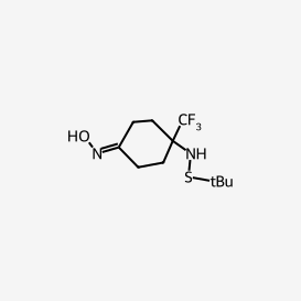 CC(C)(C)SNC1(C(F)(F)F)CCC(=NO)CC1